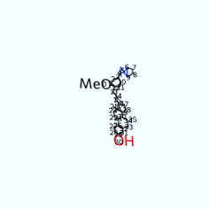 COc1cc(CN2CCCC2)ccc1CCCC1CCC2C3C(CCC12C)c1ccc(O)cc1C[C@H]3C